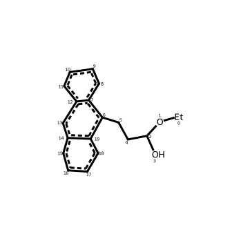 CCOC(O)CCc1c2ccccc2cc2ccccc12